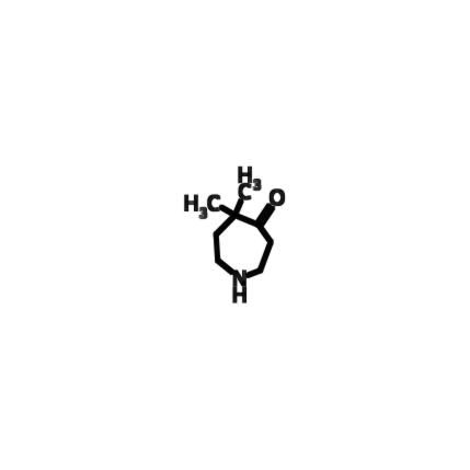 CC1(C)CCNCCC1=O